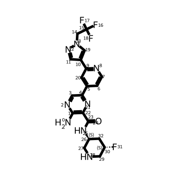 Nc1ncc(-c2ccnc(-c3cnn(CC(F)(F)F)c3)c2)nc1C(=O)N[C@@H]1CNC[C@@H](F)C1